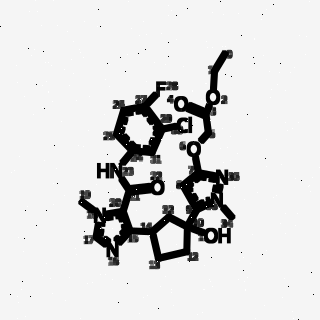 CCOC(=O)COc1cc(C2(O)CCC(c3ncn(C)c3C(=O)Nc3ccc(F)c(Cl)c3)C2)n(C)n1